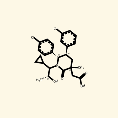 C[C@@H](O)C(C1CC1)N1C(=O)[C@@](C)(CC(=O)O)C[C@H](c2cccc(Cl)c2)[C@H]1c1ccc(Cl)cc1